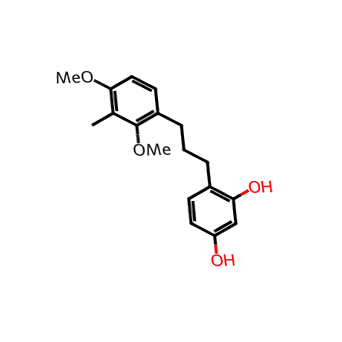 COc1ccc(CCCc2ccc(O)cc2O)c(OC)c1C